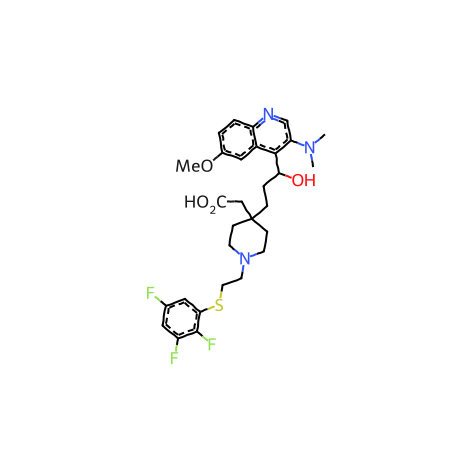 COc1ccc2ncc(N(C)C)c(C(O)CCC3(CC(=O)O)CCN(CCSc4cc(F)cc(F)c4F)CC3)c2c1